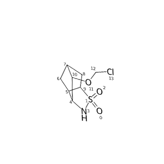 O=S1(=O)NC2C3CC(CC31)C2OCCl